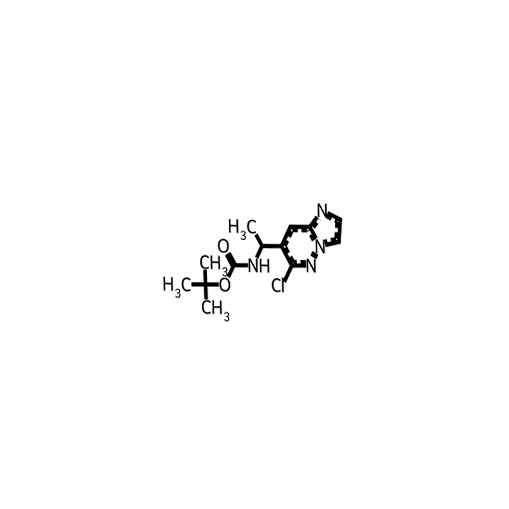 CC(NC(=O)OC(C)(C)C)c1cc2nccn2nc1Cl